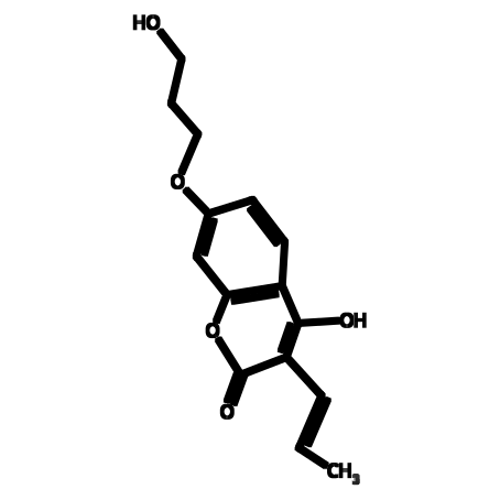 CC=Cc1c(O)c2ccc(OCCCO)cc2oc1=O